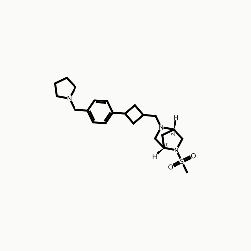 CS(=O)(=O)N1C[C@@H]2C[C@H]1CN2CC1CC(c2ccc(CN3CCCC3)cc2)C1